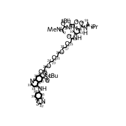 CN[C@@H](C)C(=O)N[C@H](C(=O)N1C[C@@H](NC(=O)COCCOCCOCCOCCOc2cc3nccc(Nc4ccc5scnc5c4)c3cc2S(=O)(=O)C(C)(C)C)C[C@H]1C(=O)N[C@H](C)C(C)C)C(C)(C)C